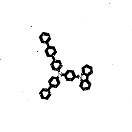 c1ccc(-c2ccc(-c3ccc(N(c4ccc(-c5ccccc5)cc4)c4ccc(-n5c6ccccc6c6ccccc65)cc4)cc3)cc2)cc1